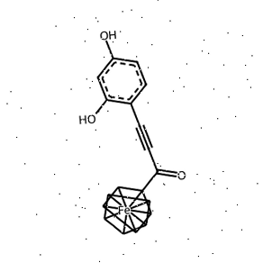 O=C(C#Cc1ccc(O)cc1O)[C]12[CH]3[CH]4[CH]5[CH]1[Fe]45321678[CH]2[CH]1[CH]6[CH]7[CH]28